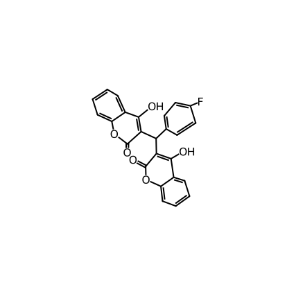 O=c1oc2ccccc2c(O)c1C(c1ccc(F)cc1)c1c(O)c2ccccc2oc1=O